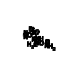 CCc1cccc(-c2[nH]c(N(C)c3ccc(C(N)=O)cc3)nc2-c2ccc3nccnc3c2)n1